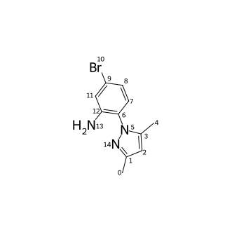 Cc1cc(C)n(-c2ccc(Br)cc2N)n1